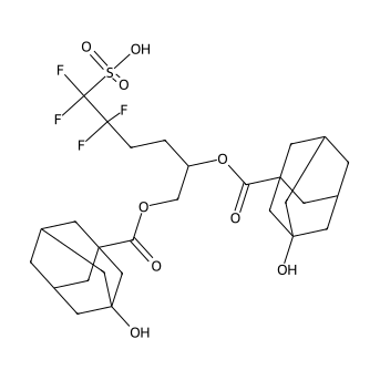 O=C(OCC(CCC(F)(F)C(F)(F)S(=O)(=O)O)OC(=O)C12CC3CC(CC(O)(C3)C1)C2)C12CC3CC(CC(O)(C3)C1)C2